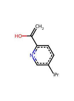 C=C(O)c1ccc(C(C)C)cn1